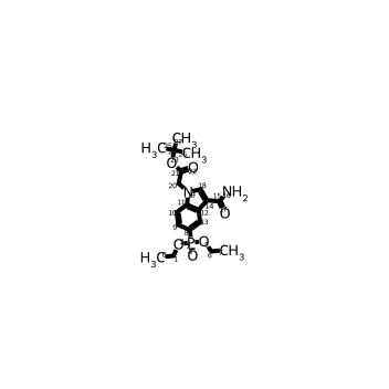 CCOP(=O)(OCC)c1ccc2c(c1)c(C(N)=O)cn2CC(=O)OC(C)(C)C